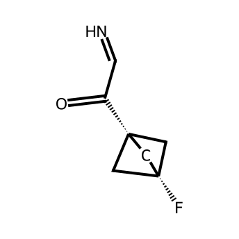 N=CC(=O)[C@]12C[C@](F)(C1)C2